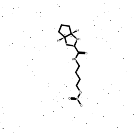 O=C(NCCCCO[N+](=O)[O-])C1C[C@@H]2CCC[C@@H]2N1